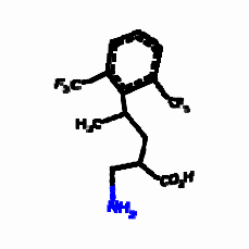 CC(CC(CN)C(=O)O)c1c(C(F)(F)F)cccc1C(F)(F)F